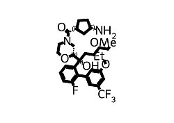 CCOc1cc(-c2c(F)cccc2[C@](O)(CCCCOC)[C@H]2CN(C(=O)[C@@H]3CC[C@H](N)C3)CCO2)cc(C(F)(F)F)c1